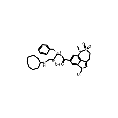 CCn1cc2c3c(cc(C(=O)N[C@@H](Cc4ccccc4)[C@H](O)CNC4CCCCCCC4)cc31)N(C)S(=O)(=O)CC2